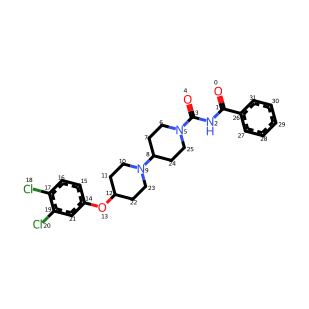 O=C(NC(=O)N1CCC(N2CCC(Oc3ccc(Cl)c(Cl)c3)CC2)CC1)c1ccccc1